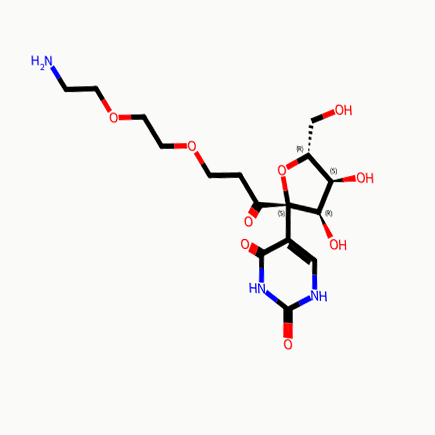 NCCOCCOCCC(=O)[C@@]1(c2c[nH]c(=O)[nH]c2=O)O[C@H](CO)[C@@H](O)[C@H]1O